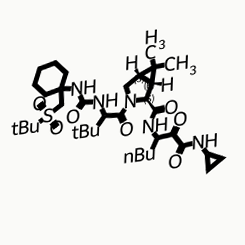 CCCCC(NC(=O)[C@@H]1[C@@H]2[C@H](CN1C(=O)C(NC(=O)NC1(CS(=O)(=O)C(C)(C)C)CCCCC1)C(C)(C)C)C2(C)C)C(=O)C(=O)NC1CC1